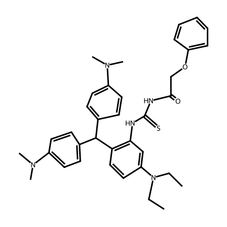 CCN(CC)c1ccc(C(c2ccc(N(C)C)cc2)c2ccc(N(C)C)cc2)c(NC(=S)NC(=O)COc2ccccc2)c1